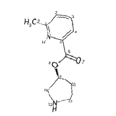 Cc1cccc(C(=O)O[C@H]2CCNC2)n1